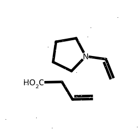 C=CCC(=O)O.C=CN1CCCC1